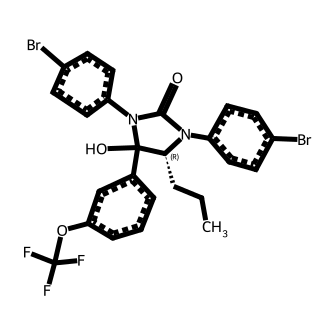 CCC[C@H]1N(c2ccc(Br)cc2)C(=O)N(c2ccc(Br)cc2)C1(O)c1cccc(OC(F)(F)F)c1